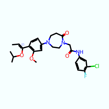 C/C=C(\OC(C)C)c1ccc(N2CCC(=O)N(CC(=O)Nc3ccc(F)c(Cl)c3)CC2)cc1OC